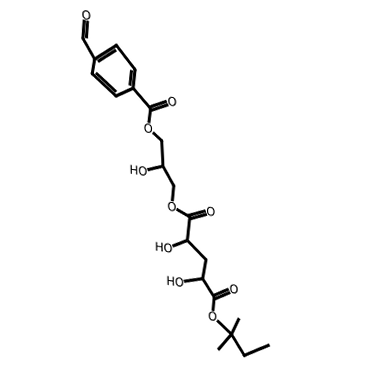 CCC(C)(C)OC(=O)C(O)CC(O)C(=O)OCC(O)COC(=O)c1ccc(C=O)cc1